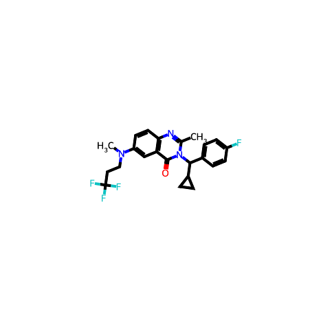 Cc1nc2ccc(N(C)CCC(F)(F)F)cc2c(=O)n1C(c1ccc(F)cc1)C1CC1